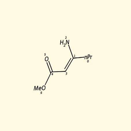 CCC/C(N)=C/C(=O)OC